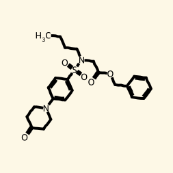 CCCCN(CC(=O)OCc1ccccc1)S(=O)(=O)c1ccc(N2CCC(=O)CC2)cc1